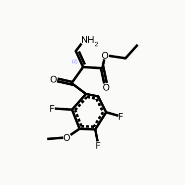 CCOC(=O)/C(=C\N)C(=O)c1cc(F)c(F)c(OC)c1F